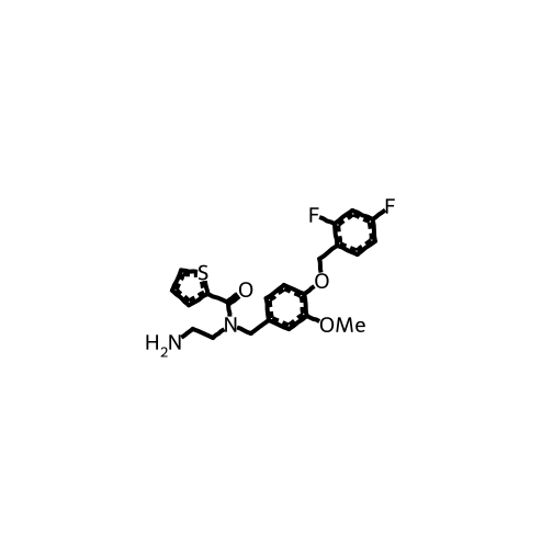 COc1cc(CN(CCN)C(=O)c2cccs2)ccc1OCc1ccc(F)cc1F